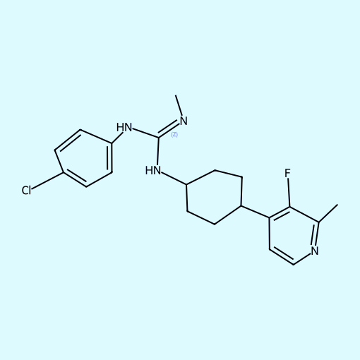 C/N=C(\Nc1ccc(Cl)cc1)NC1CCC(c2ccnc(C)c2F)CC1